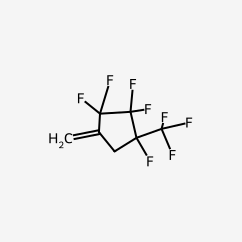 C=C1CC(F)(C(F)(F)F)C(F)(F)C1(F)F